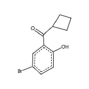 O=C(c1cc(Br)ccc1O)C1CCC1